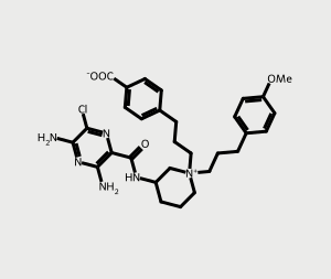 COc1ccc(CCC[N+]2(CCCc3ccc(C(=O)[O-])cc3)CCCC(NC(=O)c3nc(Cl)c(N)nc3N)C2)cc1